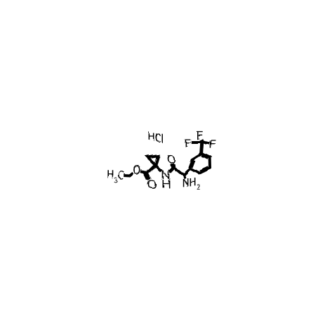 CCOC(=O)C1(NC(=O)C(N)c2cccc(C(F)(F)F)c2)CC1.Cl